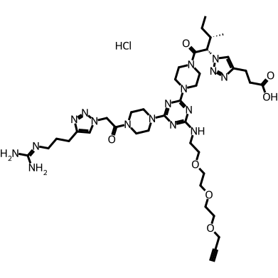 C#CCOCCOCCOCCNc1nc(N2CCN(C(=O)Cn3cc(CCCN=C(N)N)nn3)CC2)nc(N2CCN(C(=O)[C@H]([C@@H](C)CC)n3cc(CCC(=O)O)nn3)CC2)n1.Cl